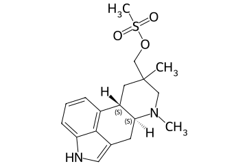 CN1CC(C)(COS(C)(=O)=O)C[C@H]2c3cccc4[nH]cc(c34)C[C@@H]21